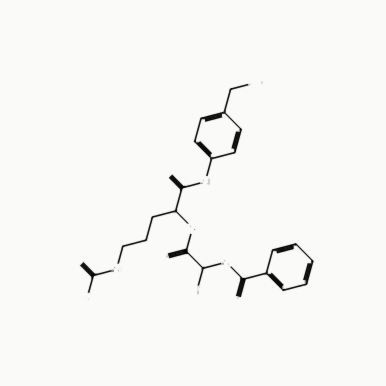 CC(=O)OCc1ccc(NC(=O)C(CCCNC(N)=O)NC(=O)C(NC(=O)c2ccccc2)C(C)C)cc1